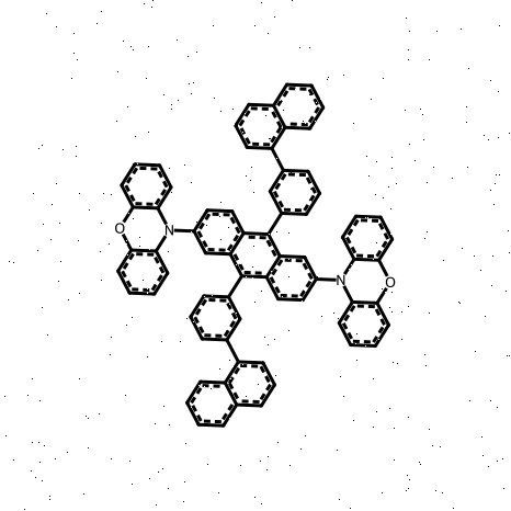 c1cc(-c2cccc3ccccc23)cc(-c2c3ccc(N4c5ccccc5Oc5ccccc54)cc3c(-c3cccc(-c4cccc5ccccc45)c3)c3ccc(N4c5ccccc5Oc5ccccc54)cc23)c1